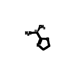 C[C@@H](N)C1=NCCO1